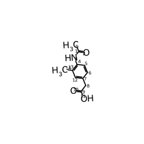 CC(=O)Nc1ccc(CC(=O)O)cc1C